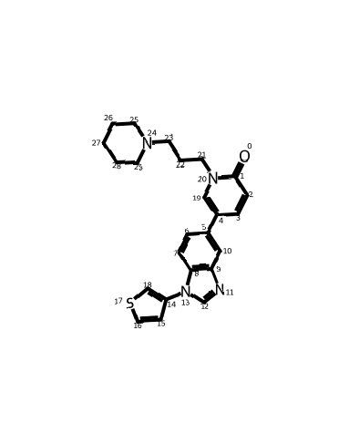 O=c1ccc(-c2ccc3c(c2)ncn3-c2ccsc2)cn1CCCN1CCCCC1